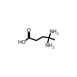 CC(N)(N)CCC(=O)O